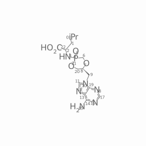 CC(C)CC(NP1(=O)CO[C@@H](Cn2cnc3c(N)ncnc32)CO1)C(=O)O